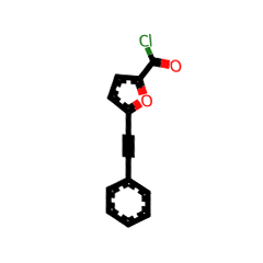 O=C(Cl)c1ccc(C#Cc2ccccc2)o1